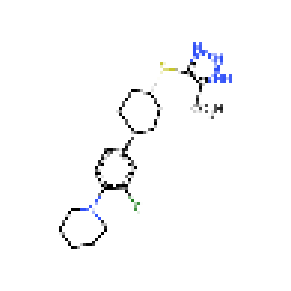 O=C(O)c1[nH]nnc1S[C@H]1CC[C@H](c2ccc(N3CCCCC3)c(Cl)c2)CC1